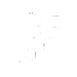 COc1cc2[nH]c(C(=O)c3ccc(N)cc3F)cc2c2ccccc12